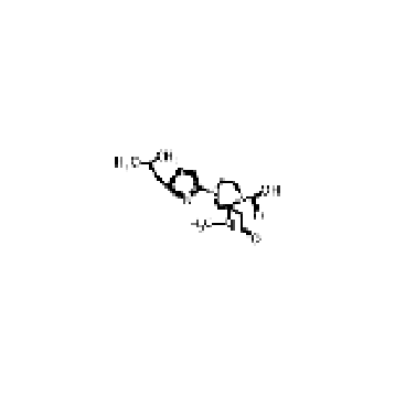 CNC1(CC=O)CN(c2ccc(CC(C)C)cn2)CCN1C(=O)O